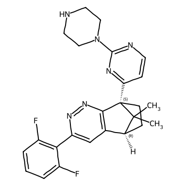 CC1(C)[C@H]2CC[C@]1(c1ccnc(N3CCNCC3)n1)c1nnc(-c3c(F)cccc3F)cc12